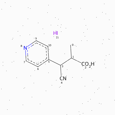 CC(C(=O)O)C(C#N)c1ccncc1.I